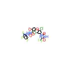 COc1ccc(Oc2c(Cl)cc(-n3nc(C(F)F)c(=O)[nH]c3=O)cc2Cl)cc1C(=O)NC(=O)NC12CC3(F)CC(F)(CC(F)(C3)C1)C2